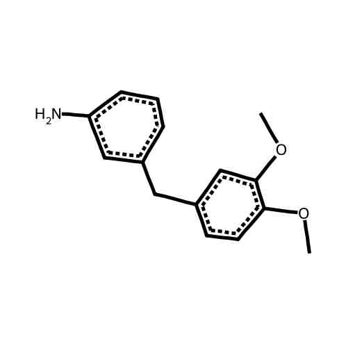 COc1ccc(Cc2cccc(N)c2)cc1OC